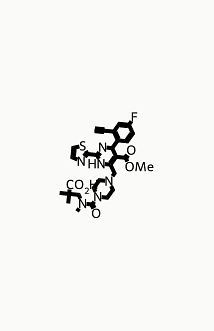 C#Cc1cc(F)ccc1C1N=C(c2nccs2)NC(CN2CCN(C(=O)N(C)CC(C)(C)C(=O)O)CC2)=C1C(=O)OC